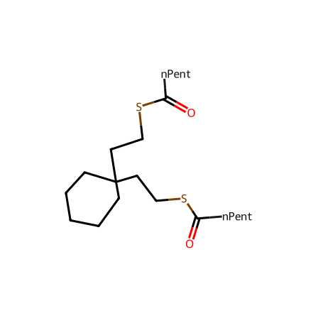 CCCCCC(=O)SCCC1(CCSC(=O)CCCCC)CCCCC1